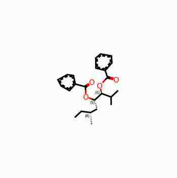 CC[C@@H](C)C[C@H](OC(=O)c1ccccc1)[C@@H](OC(=O)c1ccccc1)C(C)C